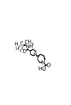 CC(C)(C)NC(=O)C1CCN([C@@H]2CCCN(C(=O)O)CC2)CC1